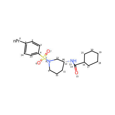 CCCc1ccc(S(=O)(=O)N2CCC[C@@H](NC(=O)C3CCCCC3)C2)cc1